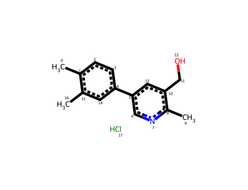 Cc1ccc(-c2cnc(C)c(CO)c2)cc1C.Cl